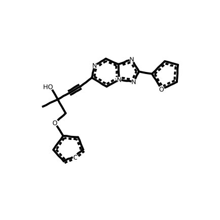 CC(O)(C#Cc1cn2nc(-c3ccco3)nc2cn1)COc1ccccc1